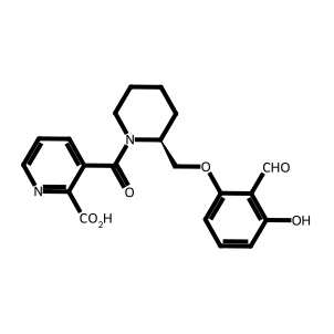 O=Cc1c(O)cccc1OC[C@@H]1CCCCN1C(=O)c1cccnc1C(=O)O